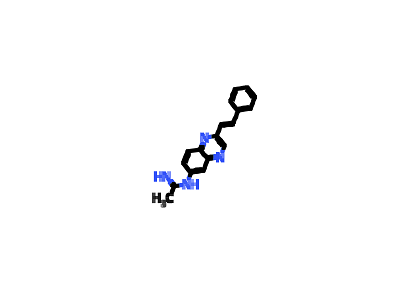 CC(=N)Nc1ccc2nc(C=Cc3ccccc3)cnc2c1